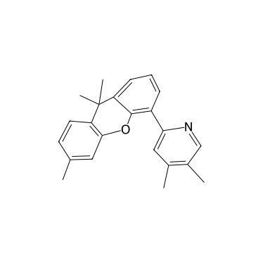 Cc1ccc2c(c1)Oc1c(-c3cc(C)c(C)cn3)cccc1C2(C)C